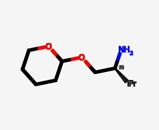 CC(C)[C@H](N)COC1CCCCO1